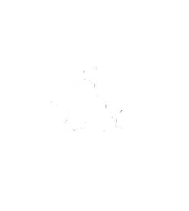 CC(=O)N(C(C)=O)[C@@H](CSSCC(N)C(=O)O)C(=O)O.CSCC[C@@H](C(=O)O)N(C(C)=O)C(C)=O